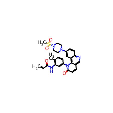 C=CC(=O)Nc1cc(-n2c(=O)ccc3cnc4ccc(N5CCN(S(C)(=O)=O)CC5)cc4c32)ccc1C